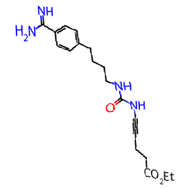 CCOC(=O)CCC#CNC(=O)NCCCCc1ccc(C(=N)N)cc1